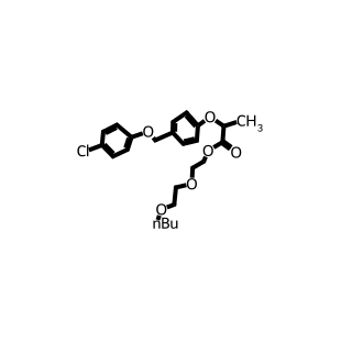 CCCCOCCOCCOC(=O)C(C)Oc1ccc(COc2ccc(Cl)cc2)cc1